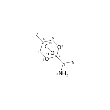 CC(N)C12OCC(C)(CO1)CO2